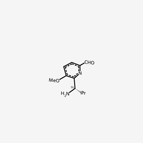 COc1ccc(C=O)nc1[C@@H](N)C(C)C